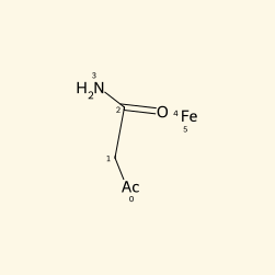 CC(=O)CC(N)=O.[Fe]